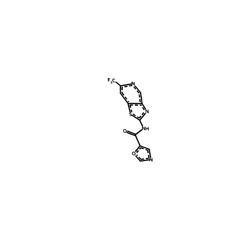 O=C(Nc1nc2cnc(C(F)(F)F)cc2s1)c1cnco1